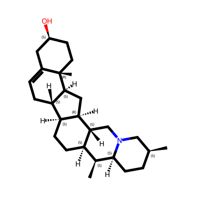 C[C@H]1CC[C@H]2[C@@H](C)[C@H]3CC[C@@H]4[C@@H](C[C@H]5[C@H]4CC=C4C[C@@H](O)CC[C@@]45C)[C@@H]3CN2C1